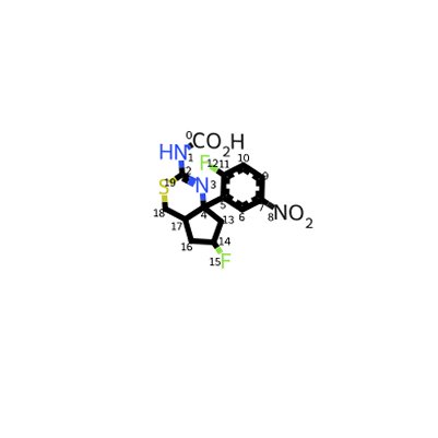 O=C(O)NC1=NC2(c3cc([N+](=O)[O-])ccc3F)CC(F)CC2CS1